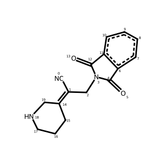 N#CC(CN1C(=O)c2ccccc2C1=O)=C1CCCNC1